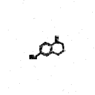 CC(C)(C)c1ccc2c(c1)C[CH]CN2